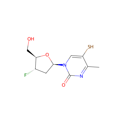 Cc1nc(=O)n([C@H]2C[C@H](F)[C@@H](CO)O2)cc1S